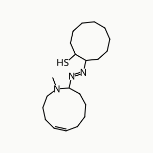 CN1CCC/C=C\CCCCC1N=NC1CCCCCCCCC1S